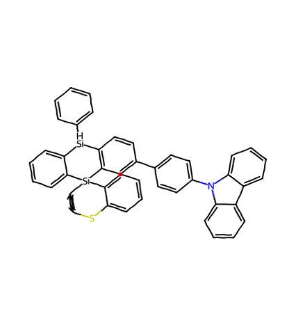 c1ccc([SiH]2c3ccccc3[Si]3(c4ccccc4Sc4ccccc43)c3cc(-c4ccc(-n5c6ccccc6c6ccccc65)cc4)ccc32)cc1